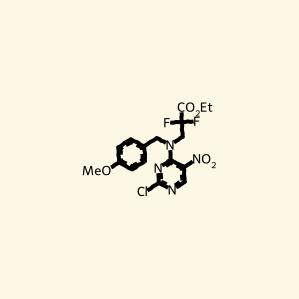 CCOC(=O)C(F)(F)CN(Cc1ccc(OC)cc1)c1nc(Cl)ncc1[N+](=O)[O-]